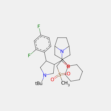 CC(C)(C)N1CC(C(=O)N2C3CCC2CC(CS(C)(=O)=O)(C2CCCCC2)C3)C(c2ccc(F)cc2F)C1